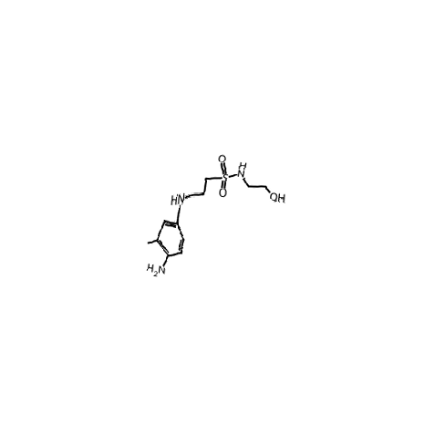 Cc1cc(NCCS(=O)(=O)NCCO)ccc1N